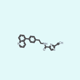 C#Cc1nc(C(=O)NCCc2ccc(-c3cccc4ncccc34)cc2)cs1